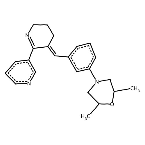 CC1CN(c2cccc(C=C3CCCN=C3c3cccnc3)c2)CC(C)O1